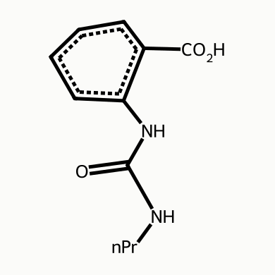 CCCNC(=O)Nc1ccccc1C(=O)O